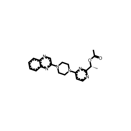 CC(=O)O[C@H](C)c1nccc(N2CCN(c3cnc4ccccc4n3)CC2)n1